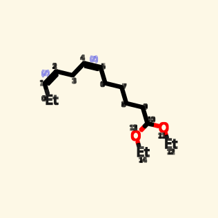 CC/C=C\C/C=C\CCCCC(OCC)OCC